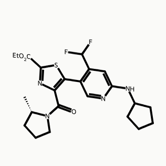 CCOC(=O)c1nc(C(=O)N2CCC[C@@H]2C)c(-c2cnc(NC3CCCC3)cc2C(F)F)s1